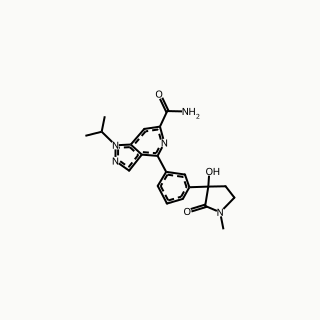 CC(C)n1ncc2c(-c3cccc(C4(O)CCN(C)C4=O)c3)nc(C(N)=O)cc21